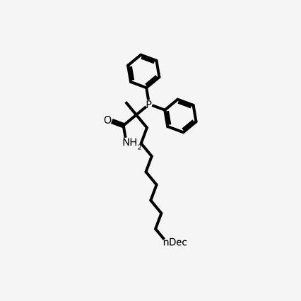 CCCCCCCCCCCCCCCCCCC(C)(C(N)=O)P(c1ccccc1)c1ccccc1